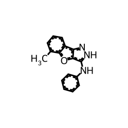 Cc1cccc2c1oc1c(Nc3ccccc3)[nH]nc12